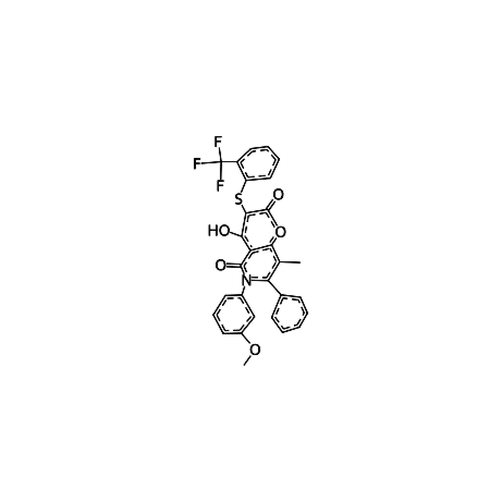 COc1cccc(-n2c(-c3ccccc3)c(C)c3oc(=O)c(Sc4ccccc4C(F)(F)F)c(O)c3c2=O)c1